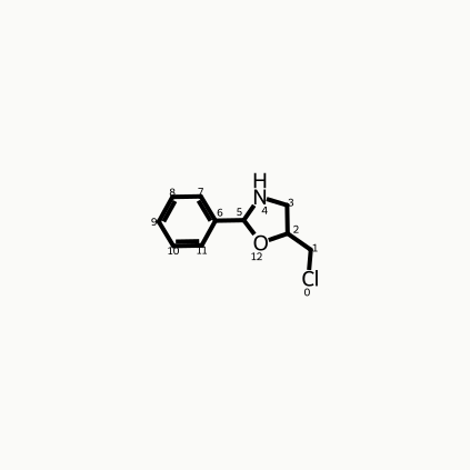 ClCC1CNC(c2ccccc2)O1